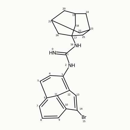 N=C(Nc1ccc2cccc3c2c1C=C3Br)NC12CC3CC(CC(C3)C1)C2